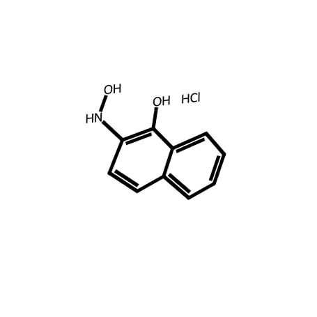 Cl.ONc1ccc2ccccc2c1O